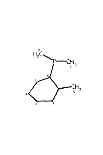 CC1CCCCC1P(C)C